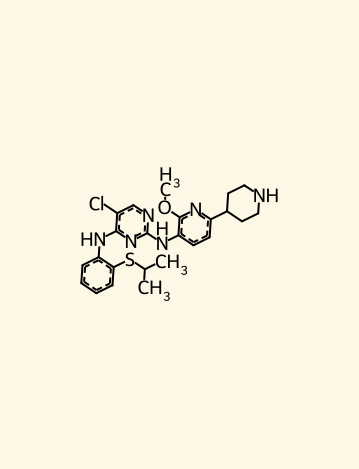 COc1nc(C2CCNCC2)ccc1Nc1ncc(Cl)c(Nc2ccccc2SC(C)C)n1